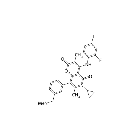 CNCc1cccc(-c2c(C)n(C3CC3)c(=O)c3c(Nc4ccc(I)cc4F)c(C)c(=O)oc23)c1